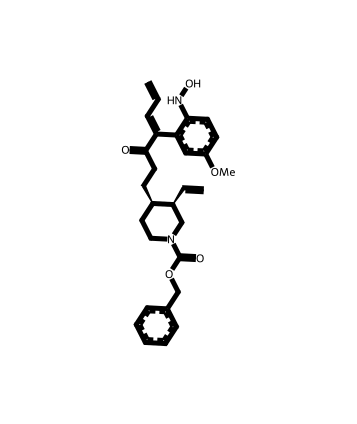 C=C/C=C(/C(=O)CC[C@@H]1CCN(C(=O)OCc2ccccc2)C[C@@H]1C=C)c1cc(OC)ccc1NO